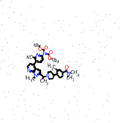 Cc1cc(C(=O)N(C)C)ccc1C1=CCN(C(C)c2cc3c(-c4ccc(N(C(=O)OC(C)(C)C)C(=O)OC(C)(C)C)nc4C#N)ccnc3n2C)CC1